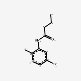 CCCC(=O)Nc1cc(Br)cnc1C